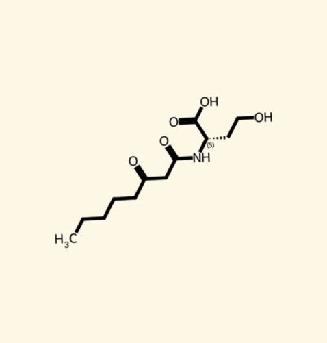 CCCCCC(=O)CC(=O)N[C@@H](CCO)C(=O)O